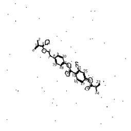 C=C(C)C(=O)OCCc1ccc(OC(=O)c2ccc(OC(=O)C(=C)C)cc2F)cc1